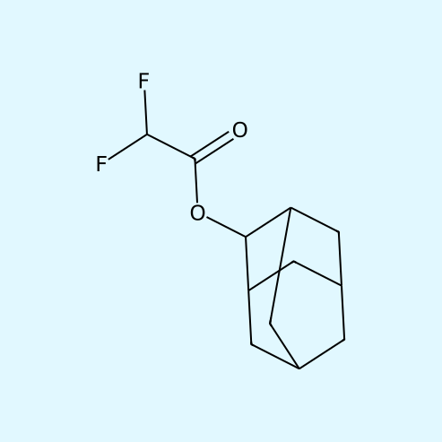 O=C(OC1C2CC3CC(C2)CC1C3)C(F)F